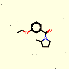 CCOc1cccc(C(=O)N2CCCC2C)c1